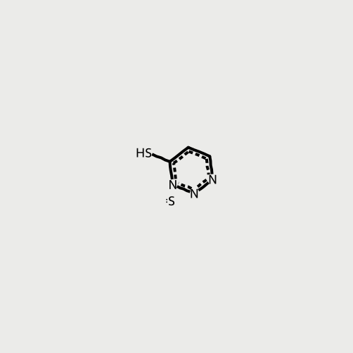 Sc1ccnnn1.[S]